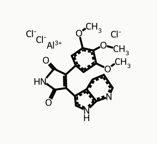 COc1cc(C2=C(c3c[nH]c4ncccc34)C(=O)NC2=O)cc(OC)c1OC.[Al+3].[Cl-].[Cl-].[Cl-]